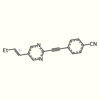 CC/C=C/c1cnc(C#Cc2ccc(C#N)cc2)nc1